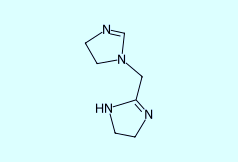 C1=NCCN1CC1=NCCN1